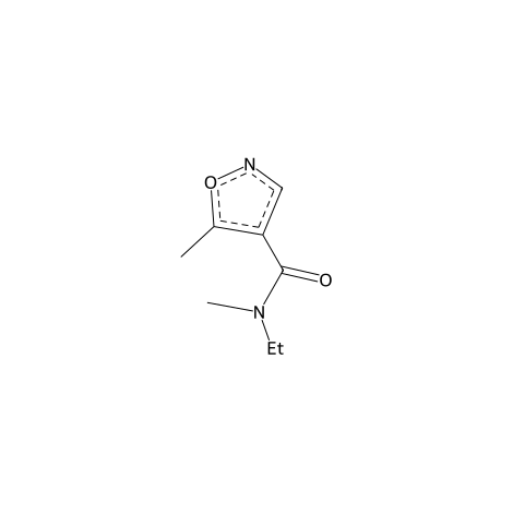 CCN(C)C(=O)c1cnoc1C